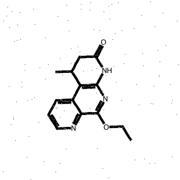 CCOc1nc2c(c3cccnc13)C(C)CC(=O)N2